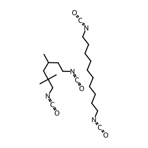 CC(CCN=C=O)CC(C)(C)CN=C=O.O=C=NCCCCCCCCCCN=C=O